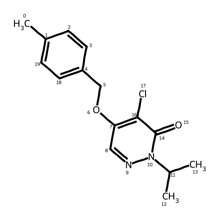 Cc1ccc(COc2cnn(C(C)C)c(=O)c2Cl)cc1